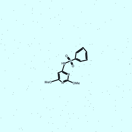 COc1cc(NS(=O)(=O)c2ccccc2)nc(OC)n1